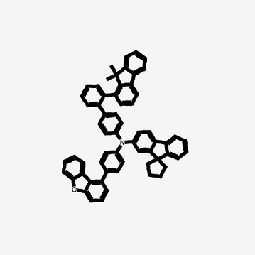 CC1(C)c2ccccc2-c2cccc(-c3ccccc3-c3ccc(N(c4ccc(-c5cccc6oc7ccccc7c56)cc4)c4ccc5c(c4)C4(CCCC4)c4ccccc4-5)cc3)c21